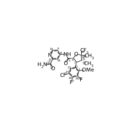 COc1c([C@H]2[C@@H](C(=O)Nc3ccnc(C(N)=O)c3)O[C@@](C)(C(F)(F)F)[C@@H]2C)cc(Cl)c(F)c1F